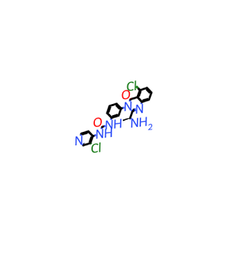 C[C@H](N)c1nc2cccc(Cl)c2c(=O)n1-c1cccc(NC(=O)Nc2ccncc2Cl)c1